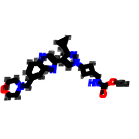 CC(C)(C)OC(=O)NCC1CC(n2cc(-c3cnc4ccc(CN5CCOCC5)cc4n3)c(C3CC3)n2)C1